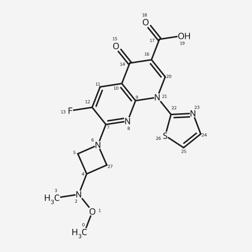 CON(C)C1CN(c2nc3c(cc2F)c(=O)c(C(=O)O)cn3-c2nccs2)C1